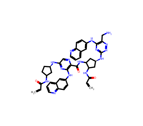 C=CC(=O)NC1CC[C@@H](Nc2cnc(C(=O)NC3C[C@@H](Nc4nnc(CN)c(Nc5ccc6ncccc6c5)n4)CC3NC(=O)C=C)c(Nc3ccc4ncccc4c3)n2)C1